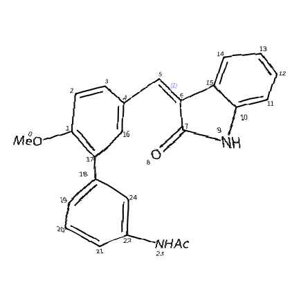 COc1ccc(/C=C2\C(=O)Nc3ccccc32)cc1-c1cccc(NC(C)=O)c1